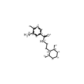 Cc1ncc(C(=O)NCCN2[C@H](C)CCC[C@@H]2C)cc1N